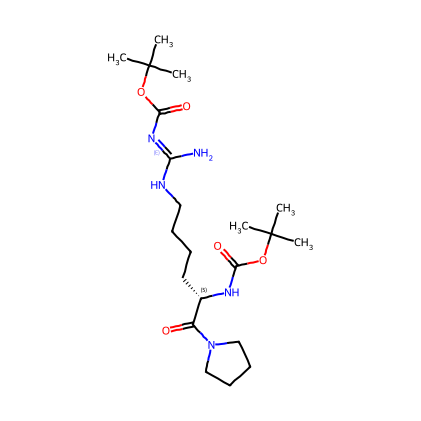 CC(C)(C)OC(=O)/N=C(\N)NCCCC[C@H](NC(=O)OC(C)(C)C)C(=O)N1CCCC1